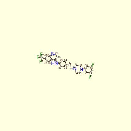 Fc1cc(F)cc(N2CCN(CCc3ccc(Nc4ccnc5cc(C(F)(F)F)ccc45)cc3)CC2)c1